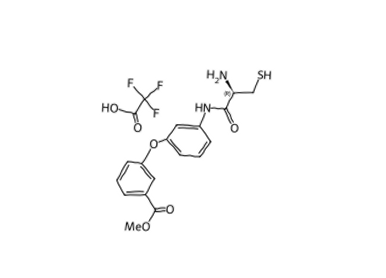 COC(=O)c1cccc(Oc2cccc(NC(=O)[C@@H](N)CS)c2)c1.O=C(O)C(F)(F)F